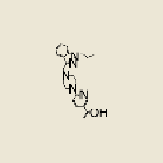 C=C(O)c1ccc(N2CCN(Cc3nn(CCC)c4ccccc34)CC2)nc1